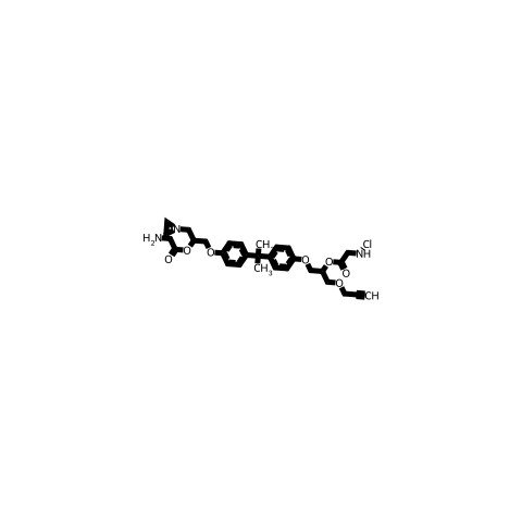 C#CCOCC(COc1ccc(C(C)(C)c2ccc(OCC(CN3CC3)OC(=O)CN)cc2)cc1)OC(=O)CNCl